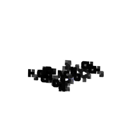 Cc1cccc(CN(C(=O)/C(C#N)=C/c2cnc(OCCO[Si](C)(C)C(C)(C)C)s2)C2CC2)c1C